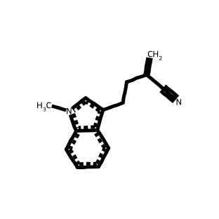 C=C(C#N)CCc1cn(C)c2ccccc12